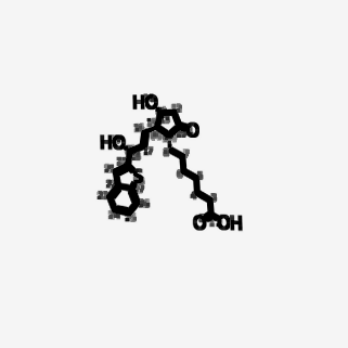 O=C(O)CCCCCC[C@H]1C(=O)C[C@@H](O)[C@@H]1C=C[C@@H](O)c1cc2ccccc2s1